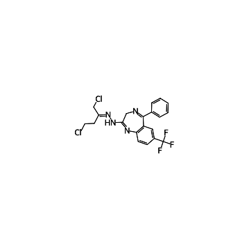 FC(F)(F)c1ccc2c(c1)C(c1ccccc1)=NCC(N/N=C(/CCl)CCCl)=N2